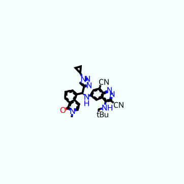 Cn1ccc2c([C@H](Nc3cc(C#N)c4nnc(C#N)c(NCC(C)(C)C)c4c3)c3cn(C4CC4)nn3)cccc2c1=O